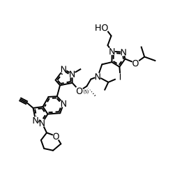 C#Cc1nn(C2CCCCO2)c2cnc(-c3cnn(C)c3O[C@@H](C)CN(Cc3c(I)c(OC(C)C)nn3CCO)C(C)C)cc12